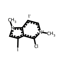 Cn1cc(I)c2c(Cl)[n+](C)ccc21.[I-]